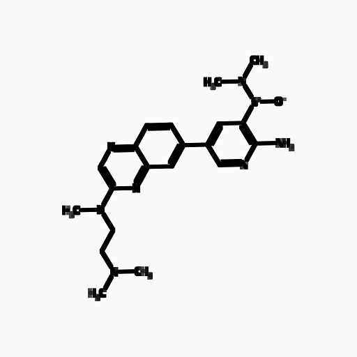 CN(C)CCN(C)c1cnc2ccc(-c3cnc(N)c([S+]([O-])N(C)C)c3)cc2n1